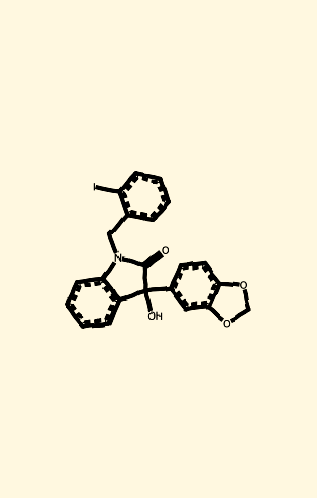 O=C1N(Cc2ccccc2I)c2ccccc2C1(O)c1ccc2c(c1)OCO2